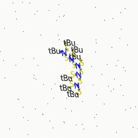 CC(C)(C)SN(SN(SN(SC(C)(C)C)SC(C)(C)C)SC(C)(C)C)SN(SN(SC(C)(C)C)C(C)(C)C)SC(C)(C)C